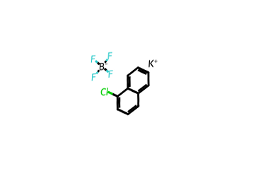 Clc1cccc2ccccc12.F[B-](F)(F)F.[K+]